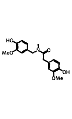 COc1cc(CC(=O)N(C)Cc2ccc(O)c(OC)c2)ccc1O